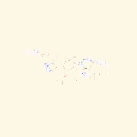 C=C(C)c1c(N)ncnc1NC(C)c1cc(Cl)c(C)c(-c2cnn(CC(N)=O)c2)c1OCC